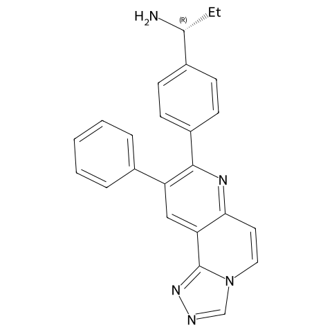 CC[C@@H](N)c1ccc(-c2nc3ccn4cnnc4c3cc2-c2ccccc2)cc1